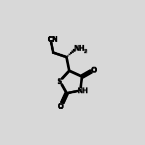 N#CC[C@H](N)C1SC(=O)NC1=O